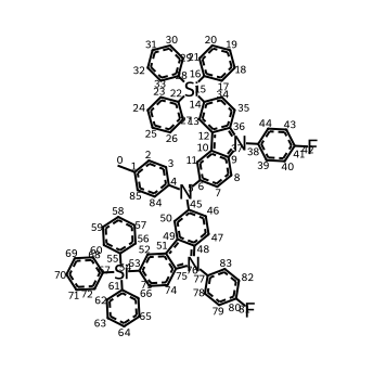 Cc1ccc(N(c2ccc3c(c2)c2cc([Si](c4ccccc4)(c4ccccc4)c4ccccc4)ccc2n3-c2ccc(F)cc2)c2ccc3c(c2)c2cc([Si](c4ccccc4)(c4ccccc4)c4ccccc4)ccc2n3-c2ccc(F)cc2)cc1